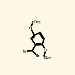 CCCCCCCCCCOc1ccc(OCCCCCCCCCC)c(C(Br)Br)c1